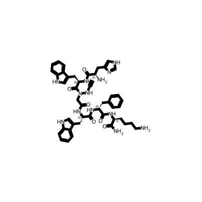 C#CNN(CC(=O)N[C@@H](Cc1c[nH]c2ccccc12)C(=O)N[C@H](Cc1ccccc1)C(=O)N[C@@H](CCCCN)C(N)=O)C(=O)[C@@H](Cc1c[nH]c2ccccc12)NC(=O)[C@@H](N)Cc1c[nH]cn1